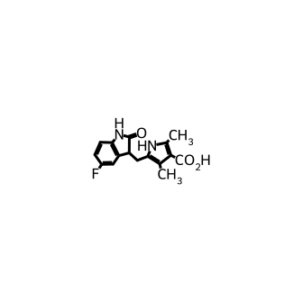 Cc1[nH]c(CC2C(=O)Nc3ccc(F)cc32)c(C)c1C(=O)O